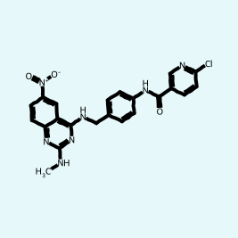 CNc1nc(NCc2ccc(NC(=O)c3ccc(Cl)nc3)cc2)c2cc([N+](=O)[O-])ccc2n1